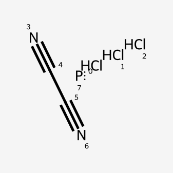 Cl.Cl.Cl.N#CC#N.[P]